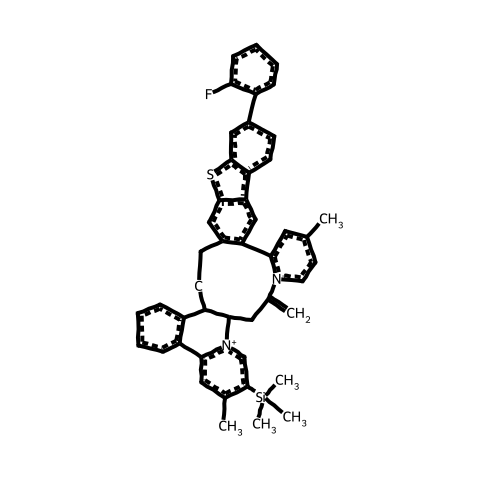 C=C1CC2C(CCc3cc4sc5cc(-c6ccccc6F)ccc5c4cc3-c3cc(C)cc[n+]31)c1ccccc1-c1cc(C)c([Si](C)(C)C)c[n+]12